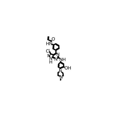 C=CC(=O)Nc1cccc(-c2nc(Nc3ccc(N4CCN(C)CC4)c(O)c3)nc3[nH]nc(Cl)c23)c1